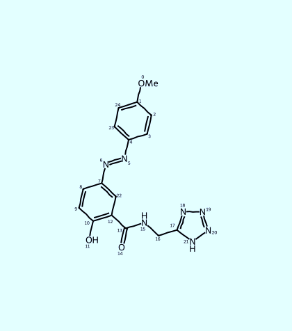 COc1ccc(N=Nc2ccc(O)c(C(=O)NCc3nnn[nH]3)c2)cc1